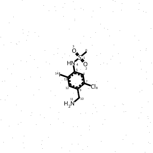 CS(=O)(=O)Nc1cc(Cl)c(CN)cc1I